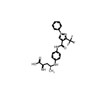 C[C@@H](CC(=N)C(=O)O)Nc1ccc(NC(=O)c2cn(-c3ccccc3)nc2C(F)(F)F)cc1